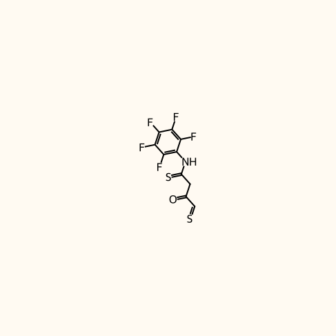 O=C(C=S)CC(=S)Nc1c(F)c(F)c(F)c(F)c1F